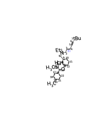 CCN(C/C=C/C#CC(C)(C)C)Cc1cccc(OC(c2ccc(C)cc2)[SiH](C)C)c1